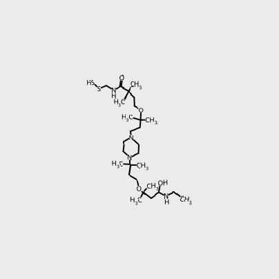 CCNC(O)CC(C)(C)OCCC(C)(C)N1CCN(CCC(C)(C)OCCC(C)(C)C(=O)NCSS)CC1